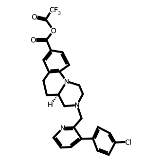 O=C(OC(=O)C(F)(F)F)c1ccc2c(c1)CC[C@@H]1CN(Cc3ncccc3-c3ccc(Cl)cc3)CCN21